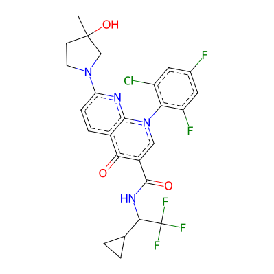 CC1(O)CCN(c2ccc3c(=O)c(C(=O)NC(C4CC4)C(F)(F)F)cn(-c4c(F)cc(F)cc4Cl)c3n2)C1